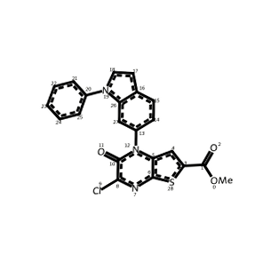 COC(=O)c1cc2c(nc(Cl)c(=O)n2-c2ccc3ccn(-c4ccccc4)c3c2)s1